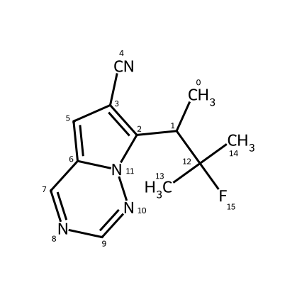 CC(c1c(C#N)cc2cncnn12)C(C)(C)F